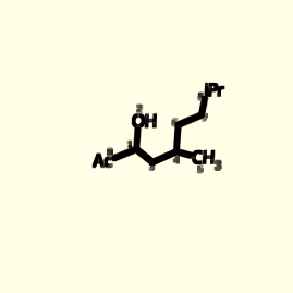 CC(=O)C(O)CC(C)CCC(C)C